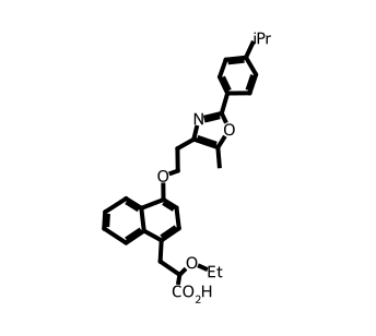 CCOC(Cc1ccc(OCCc2nc(-c3ccc(C(C)C)cc3)oc2C)c2ccccc12)C(=O)O